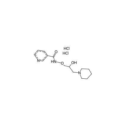 Cl.Cl.O=C(NOCC(O)CN1CCCCC1)c1cccnc1